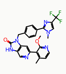 COc1nccc(C)c1-c1cc2c(cn1)[nH]c(=O)n2Cc1ccc(-c2nc(C(F)(F)F)cn2C)cc1